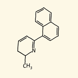 CC1CC=CC(c2cccc3ccccc23)=N1